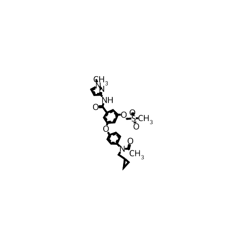 CC(=O)N(CC1CC1)c1ccc(Oc2cc(OCS(C)(=O)=O)cc(C(=O)Nc3ccn(C)n3)c2)cc1